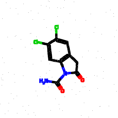 NC(=O)N1C(=O)Cc2cc(Cl)c(Cl)cc21